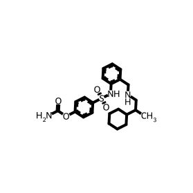 CC(CNCc1ccccc1NS(=O)(=O)c1ccc(OC(N)=O)cc1)C1CCCCC1